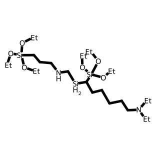 CCO[Si](CCCNC[SiH2]C(CCCCCN(CC)CC)[Si](OCC)(OCC)OCC)(OCC)OCC